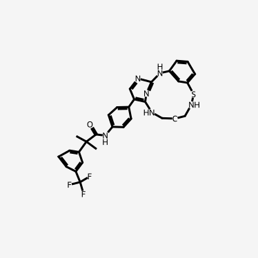 CC(C)(C(=O)Nc1ccc(-c2cnc3nc2NCCCNSc2cccc(c2)N3)cc1)c1cccc(C(F)(F)F)c1